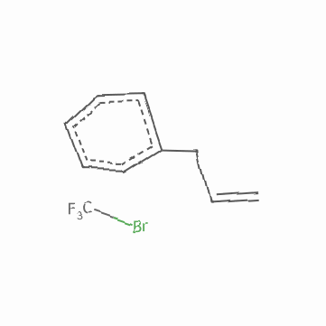 C=CCc1ccccc1.FC(F)(F)Br